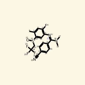 Cc1cc(F)c(/N=C(\c2ccc(C#N)cc2)N(C)C)cc1[S+]([O-])CC(F)(F)F